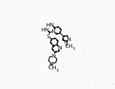 CN1CCN(c2cnc3ccc(SC(=N)n4cc(-c5cnn(C)c5)ccc4=N)cc3c2)CC1